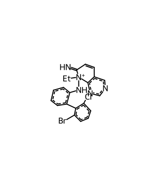 CC[N+]1(Nc2ccccc2-c2c(Cl)cccc2Br)C(=N)C=Cc2cncnc21